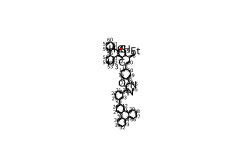 C=c1\c(=C/C(=C\C)C(=C\CC)/C=C(\C)C2=CC=c3oc4c(-c5cccc(-c6ccc7c8ccccc8c8ccccc8c7c6)c5)ncnc4c3=CC2)c2ccccc2c2ccccc12